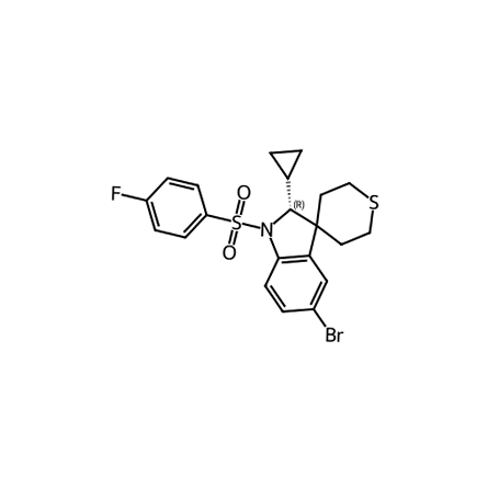 O=S(=O)(c1ccc(F)cc1)N1c2ccc(Br)cc2C2(CCSCC2)[C@H]1C1CC1